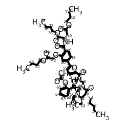 CCCCC[C@@H](C(=O)NCNC(=O)c1ccc(-c2ccc(C(=O)N[C@@H](CC(=O)OCCCC)C(=O)OCCCC)c(OCC(=O)OCCCC)c2)o1)[C@@H](CC)N(C=O)OC(=O)c1ccccc1OC(C)=O